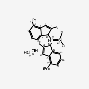 CC1=Cc2c(C(C)C)cccc2[CH]1[Hf]([CH]1C(C)=Cc2c(C(C)C)cccc21)=[Si](C)C.Cl.Cl